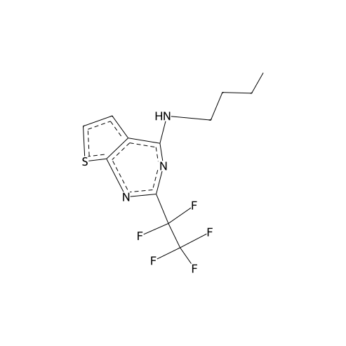 CCCCNc1nc(C(F)(F)C(F)(F)F)nc2sccc12